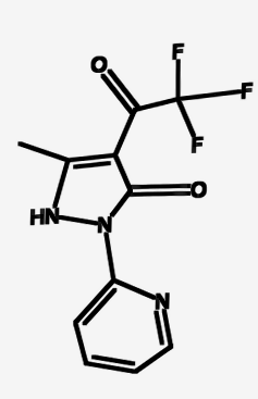 Cc1[nH]n(-c2ccccn2)c(=O)c1C(=O)C(F)(F)F